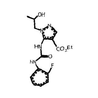 CCOC(=O)c1cnn(CC(C)O)c1NC(=O)Nc1ccccc1F